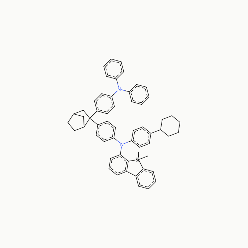 C[Si]1(C)c2ccccc2-c2cccc(N(c3ccc(C4CCCCC4)cc3)c3ccc(C4(c5ccc(N(c6ccccc6)c6ccccc6)cc5)CC5CCC4C5)cc3)c21